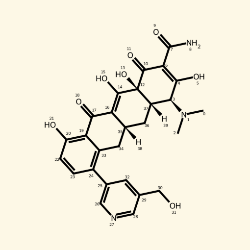 CN(C)[C@@H]1C(O)=C(C(N)=O)C(=O)[C@@]2(O)C(O)=C3C(=O)c4c(O)ccc(-c5cncc(CO)c5)c4C[C@H]3C[C@@H]12